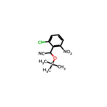 C[Si](C)(C)OC(C#N)c1c(Cl)cccc1[N+](=O)[O-]